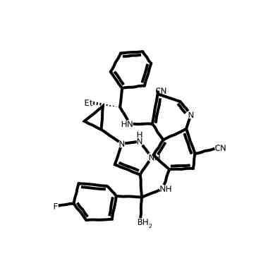 BC(Nc1cc(C#N)c2ncc(C#N)c(N[C@H](CC)c3ccccc3)c2c1)(C1=CN(C2CC2)NN1)c1ccc(F)cc1